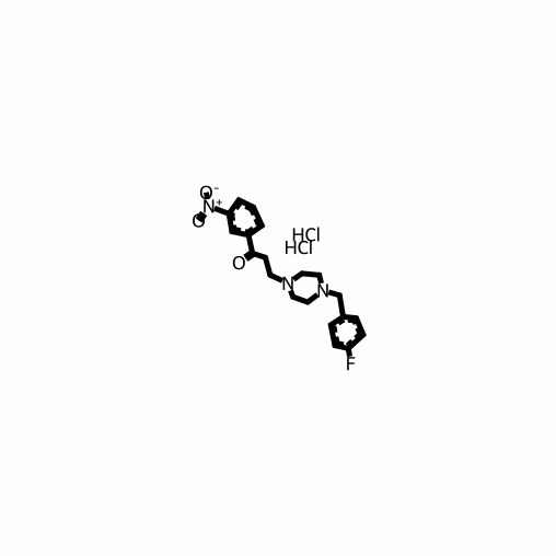 Cl.Cl.O=C(CCN1CCN(Cc2ccc(F)cc2)CC1)c1cccc([N+](=O)[O-])c1